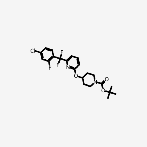 CC(C)(C)OC(=O)N1CCC(Oc2cccc(C(F)(F)c3ccc(Cl)cc3F)n2)CC1